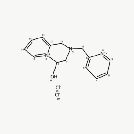 OC1CN(CC2=CC=CC=[N+]2)Cc2cccc[n+]21.[Cl-].[Cl-]